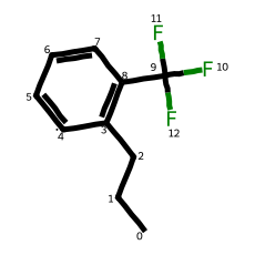 CCCc1[c]cccc1C(F)(F)F